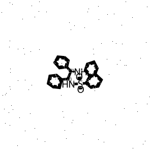 N[C@H](c1ccccc1)[C@H](NS(=O)(=O)c1cccc2ccccc12)c1ccccc1